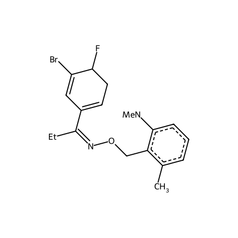 CC/C(=N/OCc1c(C)cccc1NC)C1=CCC(F)C(Br)=C1